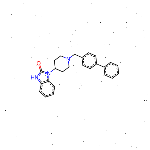 O=c1[nH]c2ccccc2n1C1CCN(Cc2ccc(-c3[c]cccc3)cc2)CC1